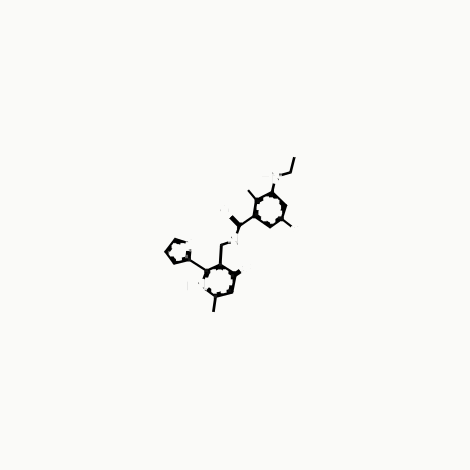 CCNc1cc(Cl)cc(C(=O)NCc2c(-c3cccs3)[nH]c(C)cc2=O)c1C